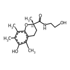 Cc1c(C)c2c(c(C)c1O)CC[C@@](C)(C(=O)NCCO)O2